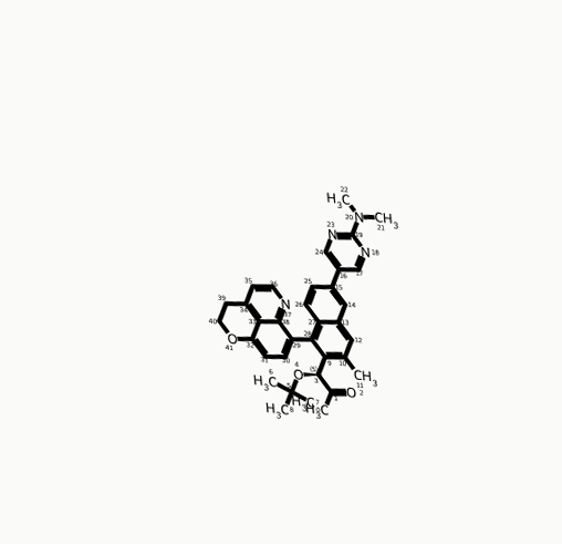 CC(=O)[C@@H](OC(C)(C)C)c1c(C)cc2cc(-c3cnc(N(C)C)nc3)ccc2c1-c1ccc2c3c(ccnc13)CCO2